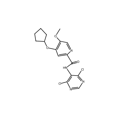 COc1cnc(C(=O)Nc2c(Cl)ncnc2Cl)cc1OC1CCCC1